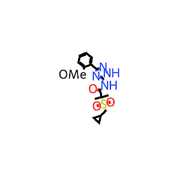 COc1ccccc1-c1n[nH]c(NC(=O)C(C)(C)S(=O)(=O)CC2CC2)n1